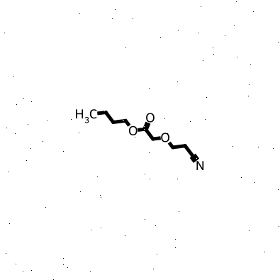 CCCCOC(=O)COCCC#N